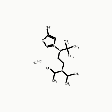 CC(C)N(CCN([n+]1cc([NH-])on1)C(C)(C)C)C(C)C.Cl.Cl